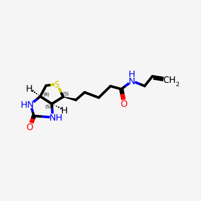 C=CCNC(=O)CCCC[C@@H]1SC[C@@H]2NC(=O)N[C@@H]21